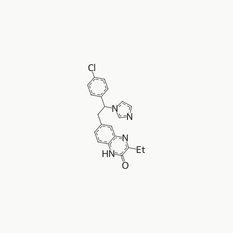 CCc1nc2cc(CC(c3ccc(Cl)cc3)n3ccnc3)ccc2[nH]c1=O